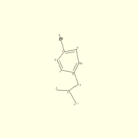 [CH]C(C)Cc1ccc(Br)cc1